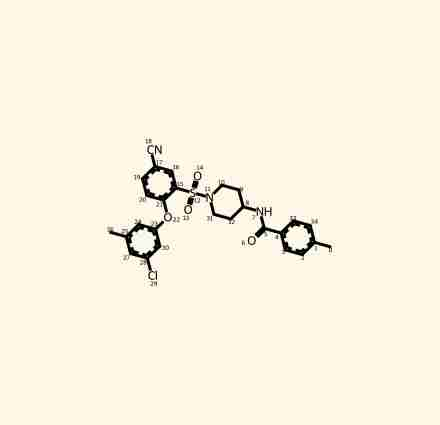 Cc1ccc(C(=O)NC2CCN(S(=O)(=O)c3cc(C#N)ccc3Oc3cc(C)cc(Cl)c3)CC2)cc1